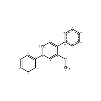 CCC1=CC(C2=CC=CCC2)NC=C1c1ccccc1